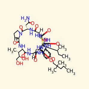 CCCC(C)(C)COc1ccc2c3c([nH]c2c1)[S+]([O-])C[C@@H]1NC(=O)CNC(=O)[C@H]([C@@H](C)CC)NC(=O)CNC(=O)[C@H](C3)NC(=O)[C@H]([C@@H](C)[C@@H](O)CO)NC(=O)[C@@H]2CCCN2C(=O)[C@H](CC(N)=O)NC1=O